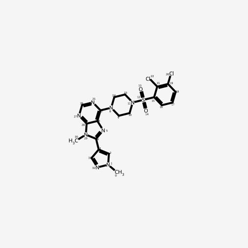 Cn1cc(-c2nc3c(N4CCN(S(=O)(=O)c5cccc(Cl)c5Cl)CC4)ncnc3n2C)cn1